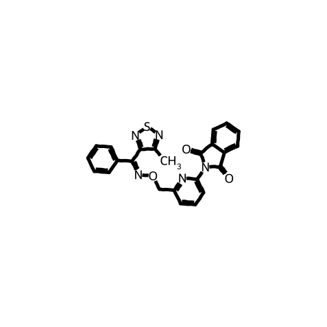 Cc1nsnc1C(=NOCc1cccc(N2C(=O)c3ccccc3C2=O)n1)c1ccccc1